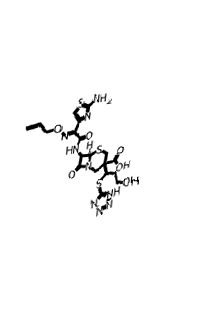 C=CCON=C(C(=O)NC1C(=O)N2CC(C(=O)O)(C(CCO)Sc3nnn[nH]3)CS[C@H]12)c1csc(N)n1